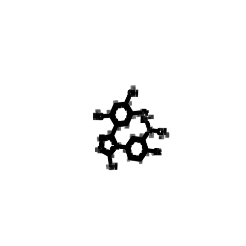 CCc1ccc(-n2c(S)nnc2-c2cc(C(C)C)c(O)cc2O)cc1N(C)CC